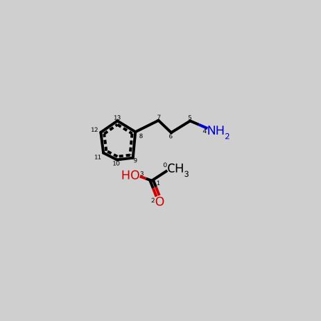 CC(=O)O.NCCCc1ccccc1